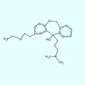 CN(C)CCCC1(O)c2ccccc2COc2ccc(CCOCP)cc21